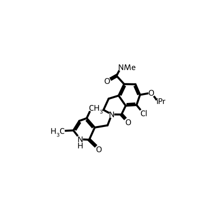 CNC(=O)c1cc(OC(C)C)c(Cl)c2c1CCN(Cc1c(C)cc(C)[nH]c1=O)C2=O